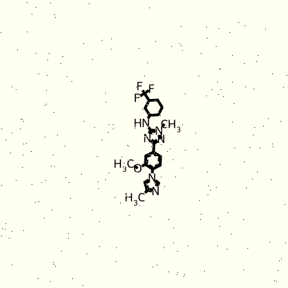 COc1cc(-c2nc(NC3CCCC(C(F)(F)F)C3)n(C)n2)ccc1-n1cnc(C)c1